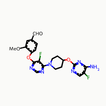 COc1cc(C=O)ccc1Oc1ncnc(N2CCC(Oc3ncc(F)c(N)n3)CC2)c1F